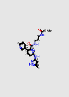 COC(=O)NCCCNC(=O)c1nc(Nc2cc(C)[nH]n2)ccc1-c1cccnc1